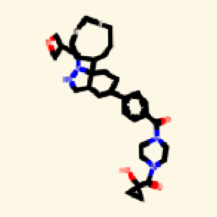 O=C(c1ccc(C2CCC3(C4CCCCCCCC4)C(CNN3CC3COC3)C2)cc1)N1CCN(C(=O)C2(O)CC2)CC1